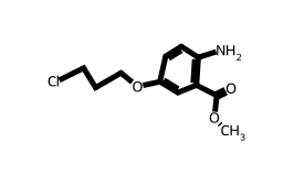 COC(=O)c1cc(OCCCCl)ccc1N